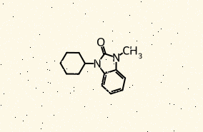 Cn1c(=O)n(C2CCCCC2)c2ccccc21